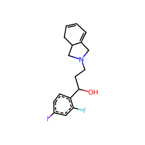 OC(CCN1CC2=CC=CCC2C1)c1ccc(I)cc1F